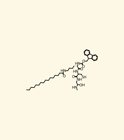 CCCCCCCCCCCCCCCC(=O)NCCCC[C@H](NC(=O)OCC1c2ccccc2-c2ccccc21)C(=O)NC(CS)C(=O)NCC(O)NC